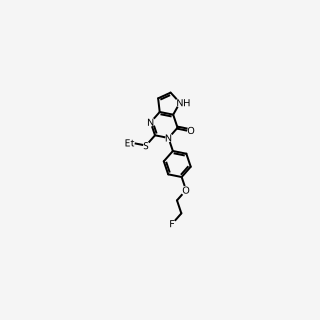 CCSc1nc2cc[nH]c2c(=O)n1-c1ccc(OCCF)cc1